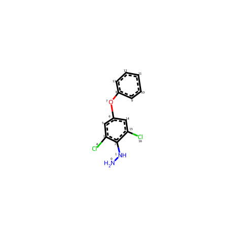 NNc1c(Cl)cc(Oc2ccccc2)cc1Cl